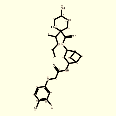 CCCC(C)C1(C(=O)NC2CC(NC(=O)COc3ccc(Cl)c(F)c3)C3CC2C3)CNC(O)CN1